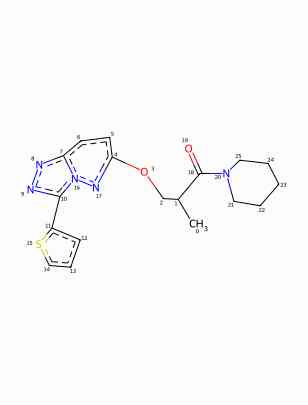 CC(COc1ccc2nnc(-c3cccs3)n2n1)C(=O)N1CCCCC1